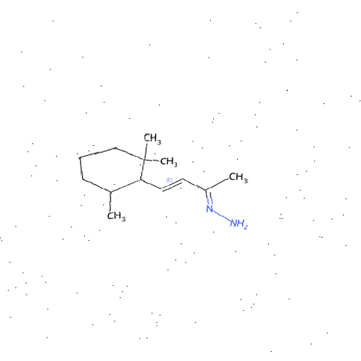 CC(/C=C/C1C(C)CCCC1(C)C)=NN